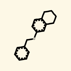 [c]1cccc(COc2ccc3c(c2)CCCC3)c1